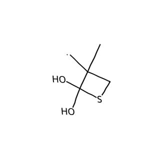 [CH2]C1(C)CSC1(O)O